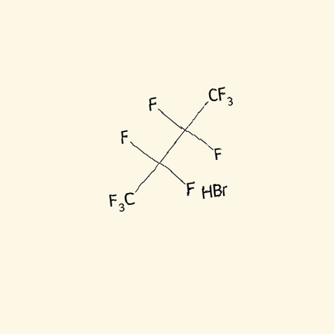 Br.FC(F)(F)C(F)(F)C(F)(F)C(F)(F)F